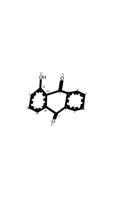 O=C1c2ccccc2C(=O)c2c(O)c[c]cc21